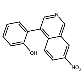 O=[N+]([O-])c1ccc2c(-c3ccccc3O)cncc2c1